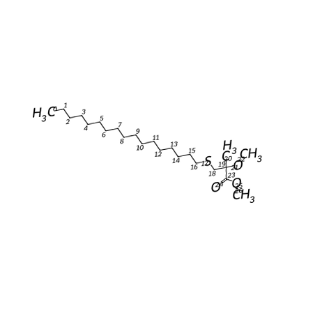 CCCCCCCCCCCCCCCCCSCC(C)(OC)C(=O)OC